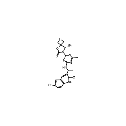 Cc1nc(N[C@@H](C)c2cc3cc(Cl)ccc3[nH]c2=O)nc(N2C(=O)OC3(COC3)[C@@H]2C(C)C)n1